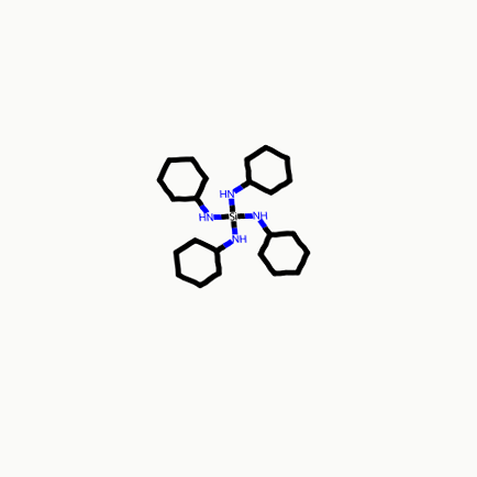 C1CCC(N[Si](NC2CCCCC2)(NC2CCCCC2)NC2CCCCC2)CC1